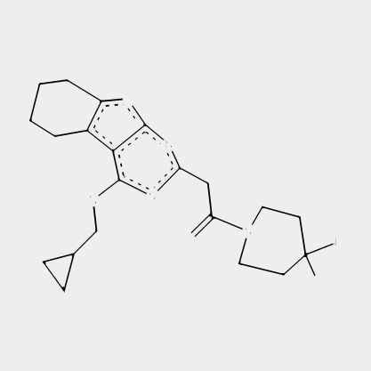 O=C(Cc1nc(NCC2CC2)c2c3c(sc2n1)CCCC3)N1CCC(F)(F)CC1